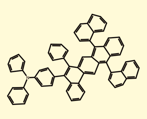 c1ccc(-c2c(-c3ccc(N(c4ccccc4)c4ccccc4)cc3)c3ccccc3c3cc4c(-c5cccc6ccccc56)c5ccccc5c(-c5cccc6ccccc56)c4cc23)cc1